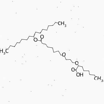 CCCCCCCCC(CCCCCCCC)OC(=O)CCCCCCCOCCCOC(CCCCCC)C(=O)O